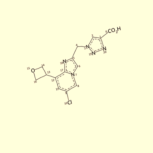 O=C(O)c1cn(Cc2cn3cc(Cl)cc(C4COC4)c3n2)nn1